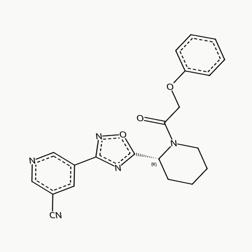 N#Cc1cncc(-c2noc([C@H]3CCCCN3C(=O)COc3ccccc3)n2)c1